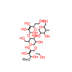 CO[C@H](O)/C(O)=C(/O)[C@@H](CCO)O[C@@H]1OC(CO)[C@@H](O[C@H](O)/C(O)=C(/O)[C@@H](CCO)O[C@@H]2OC(CO)C(C)C(O)C2O)C(O)C1O